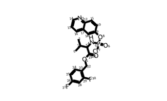 CC(C)C(NP(=O)(Cl)Oc1ccc2ncccc2c1)C(=O)OCc1ccc(F)cc1F